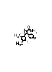 Cc1cc(C)c(-c2onc(C(N)=O)c2-c2ccc(F)cc2)cc1Cl